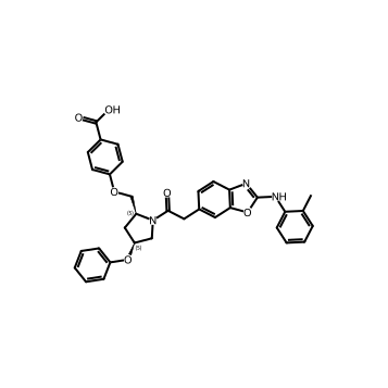 Cc1ccccc1Nc1nc2ccc(CC(=O)N3C[C@@H](Oc4ccccc4)C[C@H]3COc3ccc(C(=O)O)cc3)cc2o1